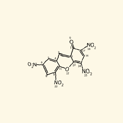 O=c1c2cc3cc([N+](=O)[O-])cc([N+](=O)[O-])c3oc-2c([N+](=O)[O-])cc1[N+](=O)[O-]